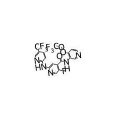 O=C(Nc1cnccc1OOC(F)(F)F)c1cc(Nc2ccc(C(F)(F)F)cn2)ncc1F